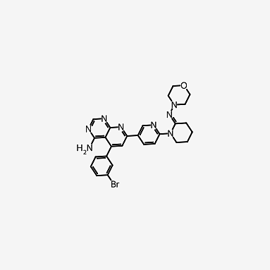 Nc1ncnc2nc(-c3ccc(N4CCCCC4=NN4CCOCC4)nc3)cc(-c3cccc(Br)c3)c12